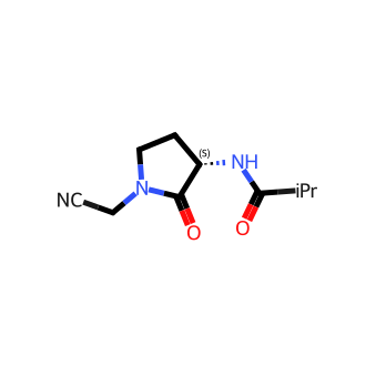 CC(C)C(=O)N[C@H]1CCN(CC#N)C1=O